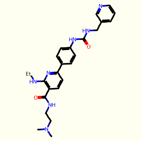 CCNc1nc(-c2ccc(NC(=O)NCc3cccnc3)cc2)ccc1C(=O)NCCN(C)C